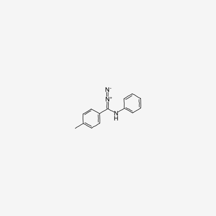 Cc1ccc(C(=[N+]=[N-])Nc2ccccc2)cc1